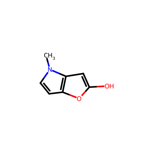 Cn1ccc2oc(O)cc21